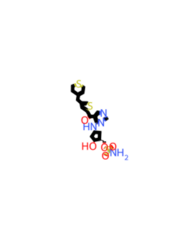 NS(=O)(=O)OC[C@H]1C[C@@H](Nc2ncncc2C(=O)c2cc(CC3=CCSCC3)cs2)C[C@@H]1O